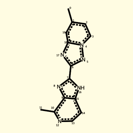 Cc1ccn2nc(-c3nc4c(C)nccc4[nH]3)nc2c1